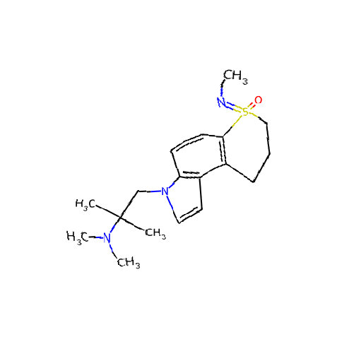 CN=S1(=O)CCCc2c1ccc1c2ccn1CC(C)(C)N(C)C